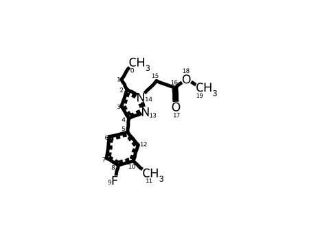 CCc1cc(-c2ccc(F)c(C)c2)nn1CC(=O)OC